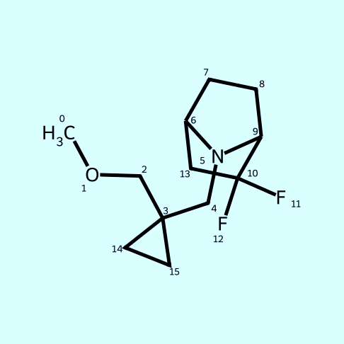 COCC1(CN2C3CCC2C(F)(F)C3)CC1